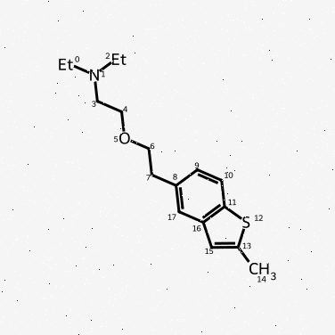 CCN(CC)CCOCCc1ccc2sc(C)cc2c1